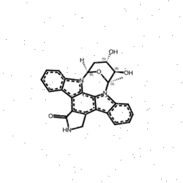 C[C@]12O[C@H](C[C@H](O)[C@H]1O)n1c3ccccc3c3c4c(c5c6ccccc6n2c5c31)CNC4=O